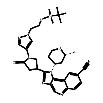 C[C@@H]1C[C@H](n2c(C3CC(=O)N(c4cnn(CCO[Si](C)(C)C(C)(C)C)c4)C3)nc3cnc4ccc(C#N)cc4c32)CCO1